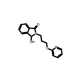 O=C1c2ccccc2C(O)N1CCCOc1ccccn1